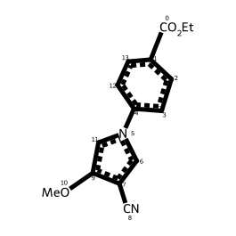 CCOC(=O)c1ccc(-n2cc(C#N)c(OC)c2)cc1